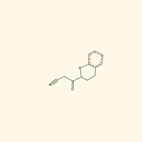 N#CCC(=O)C1CCc2ccccc2O1